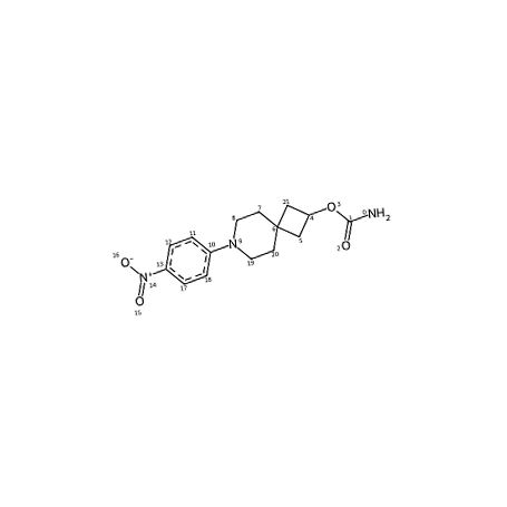 NC(=O)OC1CC2(CCN(c3ccc([N+](=O)[O-])cc3)CC2)C1